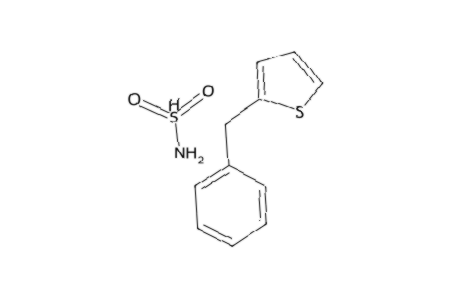 N[SH](=O)=O.c1ccc(Cc2cccs2)cc1